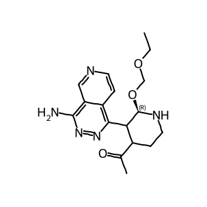 CCOCO[C@H]1NCCC(C(C)=O)C1c1nnc(N)c2cnccc12